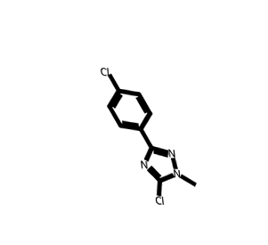 Cn1nc(-c2ccc(Cl)cc2)nc1Cl